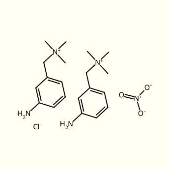 C[N+](C)(C)Cc1cccc(N)c1.C[N+](C)(C)Cc1cccc(N)c1.O=[N+]([O-])[O-].[Cl-]